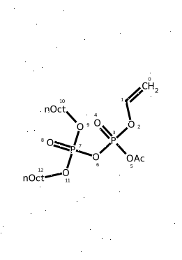 C=COP(=O)(OC(C)=O)OP(=O)(OCCCCCCCC)OCCCCCCCC